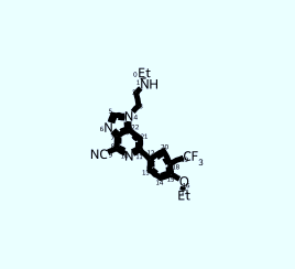 CCNCCn1cnc2c(C#N)nc(-c3ccc(OCC)c(C(F)(F)F)c3)cc21